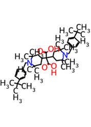 CC(C)(C)c1ccc(CN2C(C)(C)CC(C(C(=O)O)(C(=O)O)C3CC(C)(C)N(Cc4ccc(C(C)(C)C)cc4)C(C)(C)C3)CC2(C)C)cc1